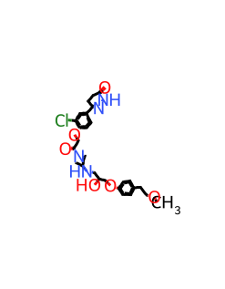 COCCc1ccc(OCC(O)CNC2CN(C(=O)COc3ccc(C4=NNC(=O)CC4)cc3Cl)C2)cc1